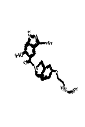 CCCc1n[nH]c2cc(O)c(C(=O)N3Cc4ccc(OCCNC(C)C)cc4C3)cc12